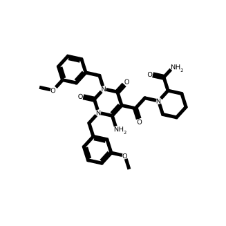 COc1cccc(Cn2c(N)c(C(=O)CN3CCCCC3C(N)=O)c(=O)n(Cc3cccc(OC)c3)c2=O)c1